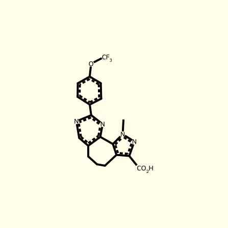 Cn1nc(C(=O)O)c2c1-c1nc(-c3ccc(OC(F)(F)F)cc3)ncc1CCC2